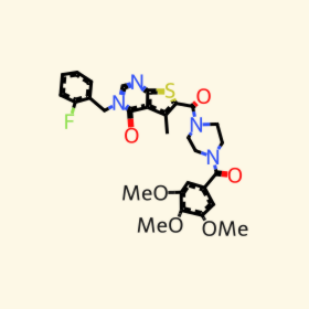 COc1cc(C(=O)N2CCN(C(=O)c3sc4ncn(Cc5ccccc5F)c(=O)c4c3C)CC2)cc(OC)c1OC